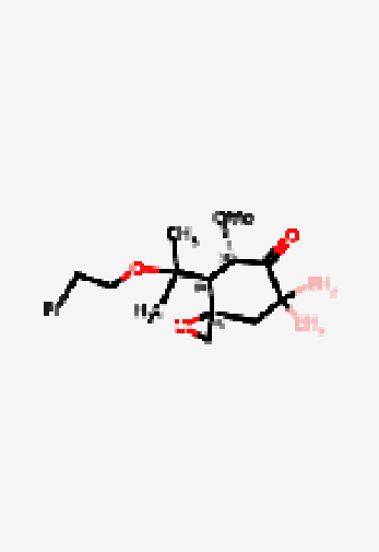 BC1(B)C[C@]2(CO2)[C@@H](C(C)(C)OCCC(C)C)[C@H](OC)C1=O